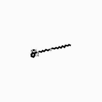 CCCCCCCCCCCCSCCCCCCCNc1ncnc2ccccc12